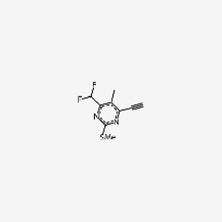 C#Cc1nc(SC)nc(C(F)F)c1C